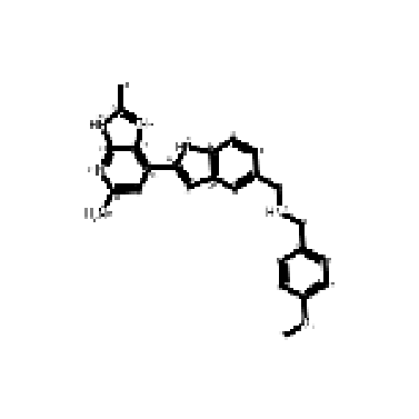 COc1ccc(CNCc2ccc3[nH]c(-c4cc(N)nc5[nH]c(C)nc45)cc3c2)cc1